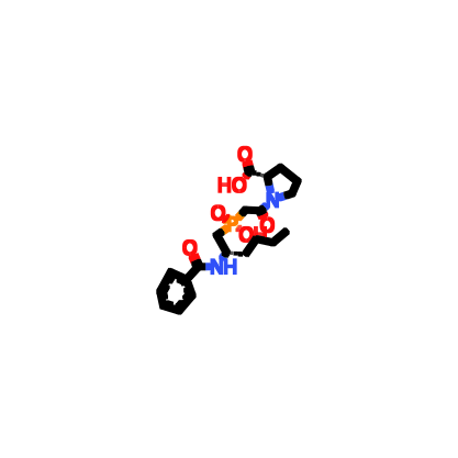 CCCC[C@@H](CP(=O)(O)CC(=O)N1CCC[C@H]1C(=O)O)NC(=O)c1ccccc1